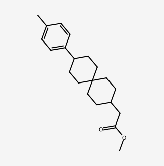 COC(=O)CC1CCC2(CC1)CCC(c1ccc(C)cc1)CC2